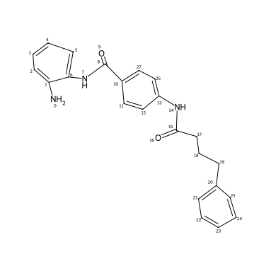 Nc1ccccc1NC(=O)c1ccc(NC(=O)CCCc2ccccc2)cc1